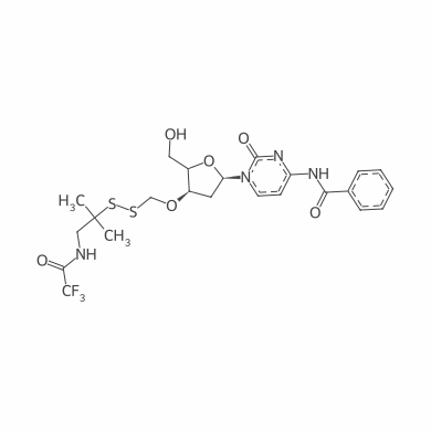 CC(C)(CNC(=O)C(F)(F)F)SSCO[C@@H]1C[C@H](n2ccc(NC(=O)c3ccccc3)nc2=O)OC1CO